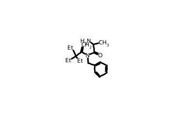 C=C(N(Cc1ccccc1)C(=O)C(C)N)C(CC)(CC)CC